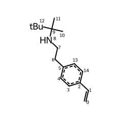 C=Cc1ccc(CCNC(C)(C)C(C)(C)C)cc1